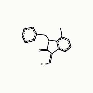 Cc1cccc2c1N(Cc1ccccc1)C(=O)C2=C[N+](=O)[O-]